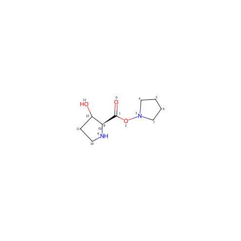 O=C(ON1CCCC1)[C@H]1NCCC1O